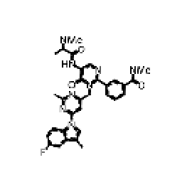 CNC(=O)c1cccc(-c2ncc(NC(=O)C(C)NC)c(=O)n2Cc2cc(-n3cc(C)c4cc(F)ccc43)nc(C)n2)c1